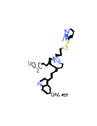 COc1ccc2nccc(CCCC3CCN(CCCSc4cccnn4)CC3CCC(=O)O)c2c1